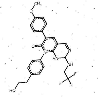 COc1ccc(-c2cc3c(n(-c4ccc(CCO)cc4)c2=O)NC(NCC(F)(F)F)N=C3)cc1